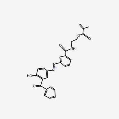 C=C(C)C(=O)OCCNC(=O)c1cccc(/N=N/c2ccc(O)c(C(=O)c3ccccc3)c2)c1